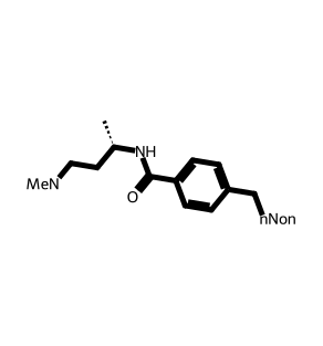 CCCCCCCCCCc1ccc(C(=O)N[C@@H](C)CCNC)cc1